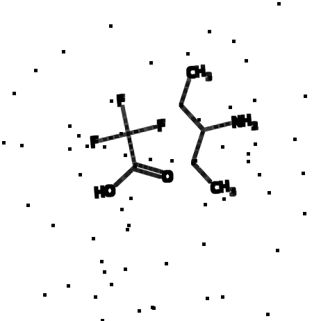 CCC(N)CC.O=C(O)C(F)(F)F